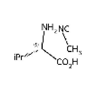 CC#N.CC(C)[C@H](N)C(=O)O